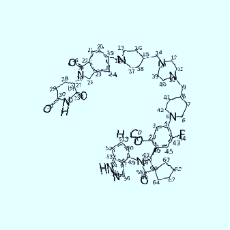 COc1cc(N2CCC(CN3CCN(CC4CCN(c5ccc6c(c5)CN([C@H]5CCC(=O)NC5=O)C6=O)CC4)CC3)CC2)c(F)cc1[C@@H]1N(c2cccc3[nH]ncc23)C(=O)C12CCCC2